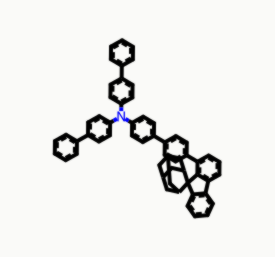 c1ccc(-c2ccc(N(c3ccc(-c4ccccc4)cc3)c3ccc(-c4ccc(-c5cccc6c5C5(c7ccccc7-6)C6CC7CC(C6)CC5C7)cc4)cc3)cc2)cc1